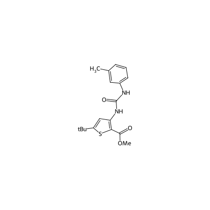 COC(=O)c1sc(C(C)(C)C)cc1NC(=O)Nc1cccc(C)c1